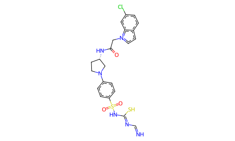 N=C/N=C(\S)NS(=O)(=O)c1ccc(N2CC[C@H](NC(=O)Cn3ccc4ccc(Cl)cc43)C2)cc1